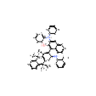 CC1C#CC=CC1NC1CC2=C(C=C1c1c3c(cc4ccccc14)N(C1C=C=C=CC1)c1ccccc1B3)C(C)(C)c1ccccc1C2(C)C